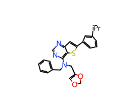 CC(C)c1cccc(-c2cc3ncnc(N(CC4=COCO4)Cc4ccccc4)c3s2)c1